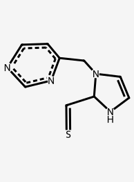 S=CC1NC=CN1Cc1ccncn1